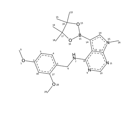 COc1ccc(CNc2ncnc3c2c(B2OC(C)(C)C(C)(C)O2)cn3C)c(OC)c1